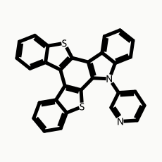 c1cncc(-n2c3ccccc3c3c4sc5ccccc5c4c4c5ccccc5sc4c32)c1